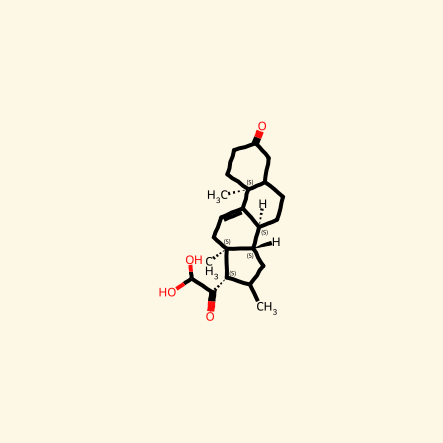 CC1C[C@H]2[C@@H]3CCC4CC(=O)CC[C@]4(C)C3=CC[C@]2(C)[C@H]1C(=O)C(O)O